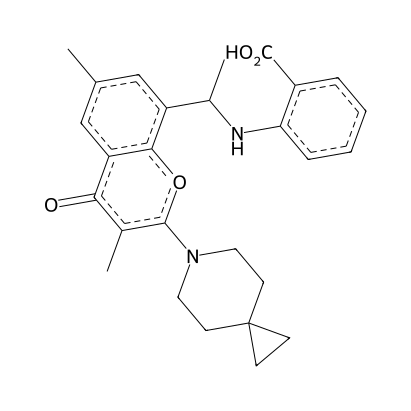 Cc1cc(C(C)Nc2ccccc2C(=O)O)c2oc(N3CCC4(CC3)CC4)c(C)c(=O)c2c1